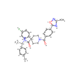 Cc1noc(-c2ccc(C(=O)N3CCC(C(=O)NC(c4ccc(C(F)(F)F)cc4)C(F)(F)F)(c4ccc(F)cc4)CC3)cc2)n1